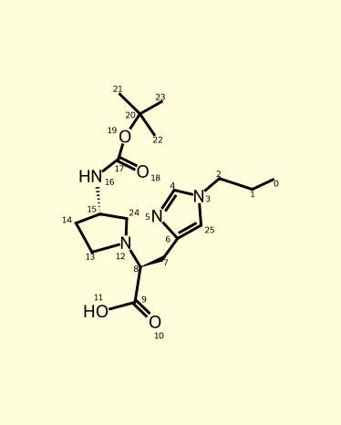 CCCn1cnc(C[C@@H](C(=O)O)N2CC[C@H](NC(=O)OC(C)(C)C)C2)c1